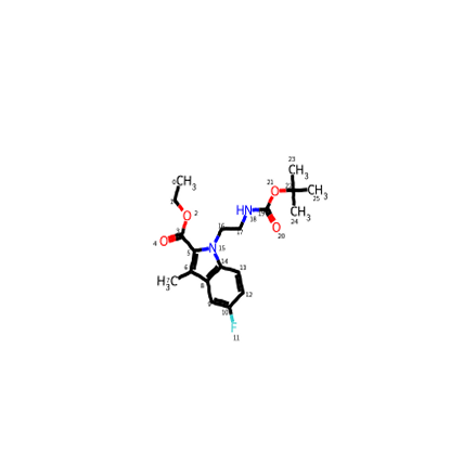 CCOC(=O)c1c(C)c2cc(F)ccc2n1CCNC(=O)OC(C)(C)C